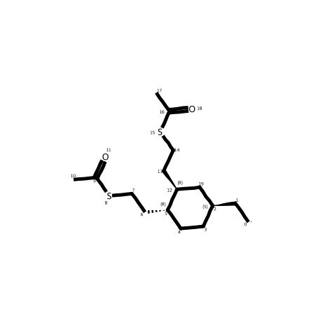 [CH2]C[C@H]1CC[C@H](CCSC(C)=O)[C@@H](CCSC(C)=O)C1